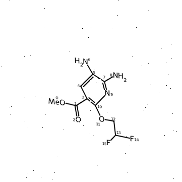 COC(=O)c1cc(N)c(N)nc1OCC(F)F